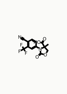 CC1(C(=O)O)COC(=O)N1c1ccc(C#N)c(C(F)(F)F)c1